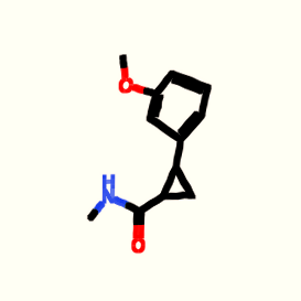 CNC(=O)C1CC1c1cccc(OC)c1